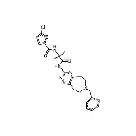 CC(C)(NC(=O)c1ccc(Cl)s1)C(=O)Nc1ncc2c(n1)CCN(Cc1ccccc1)CC2